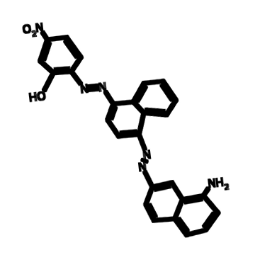 Nc1cccc2ccc(N=Nc3ccc(N=Nc4ccc([N+](=O)[O-])cc4O)c4ccccc34)cc12